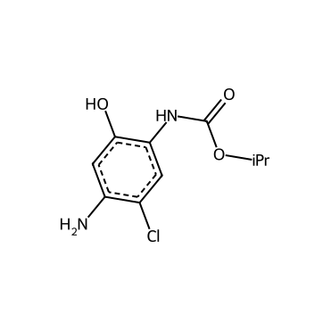 CC(C)OC(=O)Nc1cc(Cl)c(N)cc1O